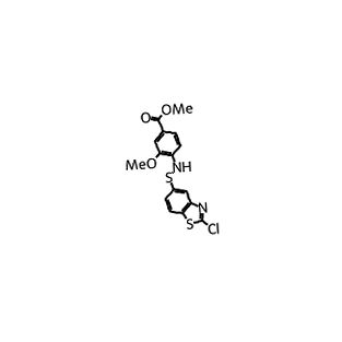 COC(=O)c1ccc(NSc2ccc3sc(Cl)nc3c2)c(OC)c1